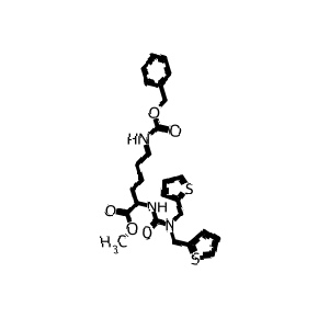 COC(=O)C(CCCCNC(=O)OCc1ccccc1)NC(=O)N(Cc1cccs1)Cc1cccs1